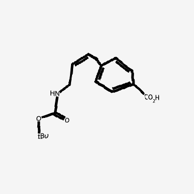 CC(C)(C)OC(=O)NC/C=C\c1ccc(C(=O)O)cc1